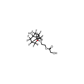 O=C(CO)OCCOC12C(F)(F)C3(O)C(F)(F)C(F)(C(F)(F)C(F)(C3(F)F)C1(F)F)C2(F)F